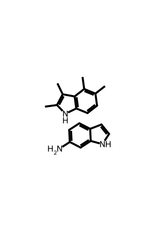 Cc1ccc2[nH]c(C)c(C)c2c1C.Nc1ccc2cc[nH]c2c1